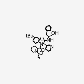 C=CC(=O)N1CCCCC1C(=O)N(c1ccc(C(C)(C)C)cc1)C(C(=O)NC(CO)Cc1ccccc1)c1cccnc1